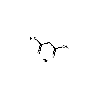 CC(=O)CC(C)=O.[Tb]